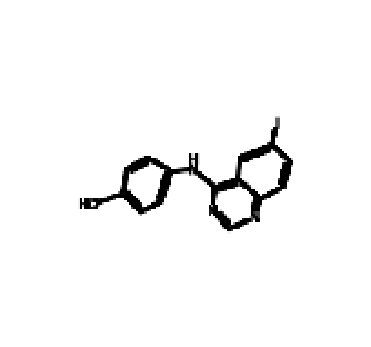 Oc1ccc(Nc2ncnc3ccc(I)cc23)cc1